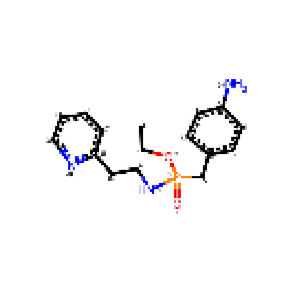 CCOP(=O)(Cc1ccc(N)cc1)NCCc1ccccn1